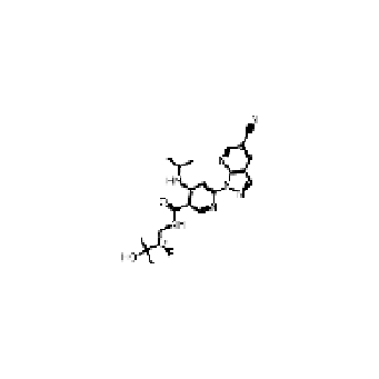 CC(C)Nc1cc(-n2ncc3cc(C#N)cnc32)ncc1C(=O)NC[C@@H](F)C(C)(C)O